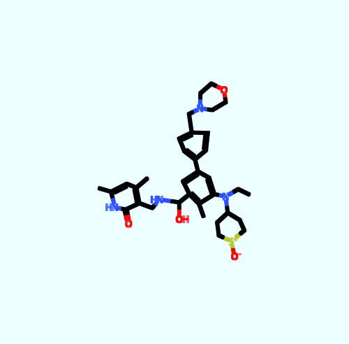 CCN(c1cc(-c2ccc(CN3CCOCC3)cc2)cc(C(O)NCc2c(C)cc(C)[nH]c2=O)c1C)C1CC[S+]([O-])CC1